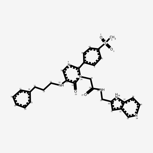 CS(=O)(=O)c1ccc(-c2ncc(NCCCc3ccccc3)c(=O)n2CC(=O)NCc2cc3cnccc3[nH]2)cc1